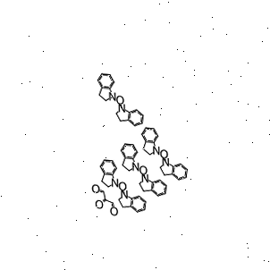 O=CC(=O)C=O.c1ccc2c(c1)CCN2ON1CCc2ccccc21.c1ccc2c(c1)CCN2ON1CCc2ccccc21.c1ccc2c(c1)CCN2ON1CCc2ccccc21.c1ccc2c(c1)CCN2ON1CCc2ccccc21